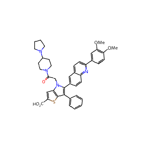 COc1ccc(-c2ccc3cc(-c4c(-c5ccccc5)c5sc(C(=O)O)cc5n4CC(=O)N4CCC(N5CCCC5)CC4)ccc3n2)cc1OC